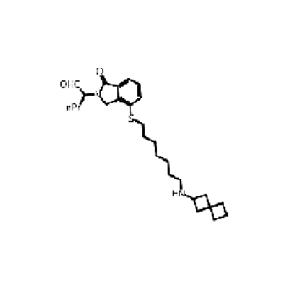 CCCC(C=O)N1Cc2c(SCCCCCCCNC3CC4(CCC4)C3)cccc2C1=O